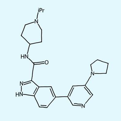 CC(C)N1CCC(NC(=O)c2n[nH]c3ccc(-c4cncc(N5CCCC5)c4)cc23)CC1